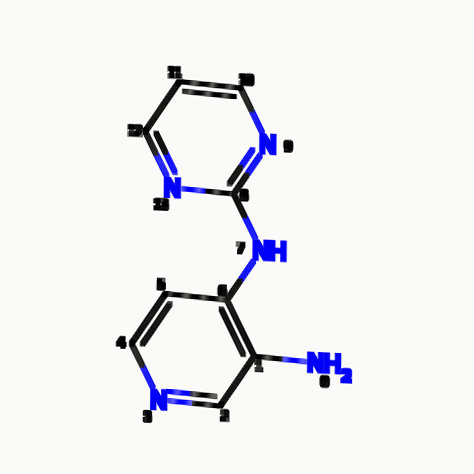 Nc1cnccc1Nc1ncccn1